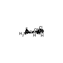 Nc1cc(F)cc(COCCNC(=O)c2cnn3c4c(c(Cl)nc23)CCN4)c1